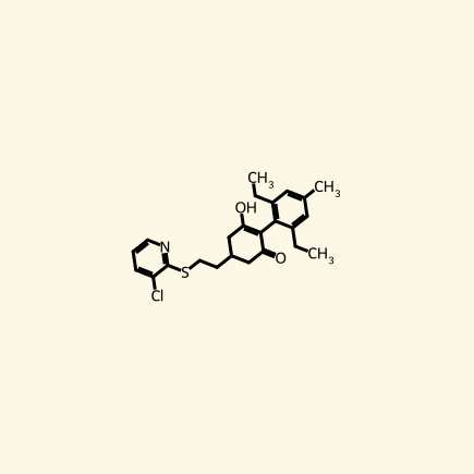 CCc1cc(C)cc(CC)c1C1=C(O)CC(CCSc2ncccc2Cl)CC1=O